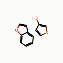 Oc1ccsc1.c1ccc2occc2c1